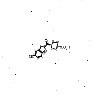 O=C(O)N1CCN(C(=O)C2Cc3cc(Cl)ccc3O2)CC1